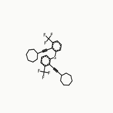 FC(F)(F)c1cccc(Sc2cccc(C(F)(F)F)c2C#CC2CCCCCC2)c1C#CC1CCCCCC1